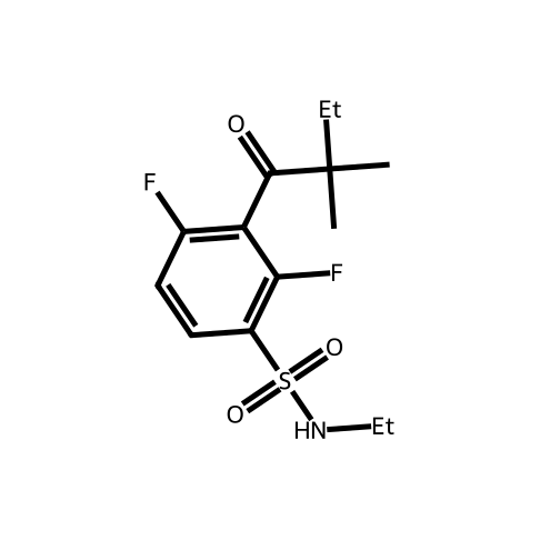 CCNS(=O)(=O)c1ccc(F)c(C(=O)C(C)(C)CC)c1F